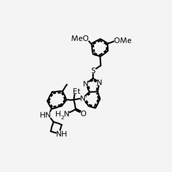 CCC(C(N)=O)(c1cc(NC2CNC2)ccc1C)n1cccc2nc(SCc3cc(OC)cc(OC)c3)nc1-2